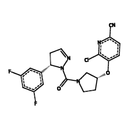 N#Cc1ccc(O[C@@H]2CCN(C(=O)N3N=CC[C@H]3c3cc(F)cc(F)c3)C2)c(Cl)n1